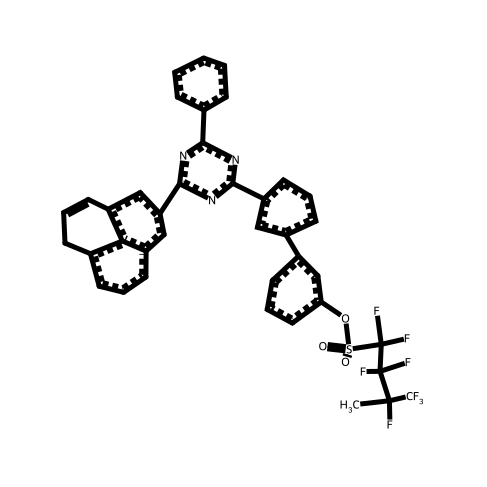 CC(F)(C(F)(F)F)C(F)(F)C(F)(F)S(=O)(=O)Oc1cccc(-c2cccc(-c3nc(-c4ccccc4)nc(-c4cc5c6c(cccc6c4)CC=C5)n3)c2)c1